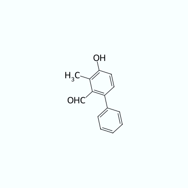 Cc1c(O)ccc(-c2ccccc2)c1C=O